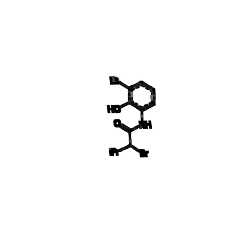 CCc1cccc(NC(=O)C(Br)C(C)C)c1O